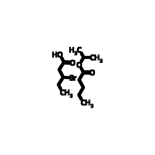 CCC(Br)CC(=O)O.CCCCC(=O)OC(C)C